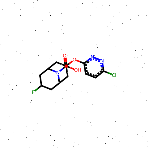 O=C(O)N1C2CC(F)CC1CC(Oc1ccc(Cl)nn1)C2